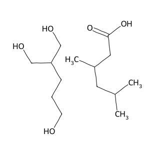 CC(C)CC(C)CC(=O)O.OCCCC(CO)CO